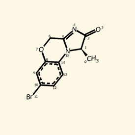 C[C@@H]1C(=O)N=C2COc3cc(Br)ccc3N21